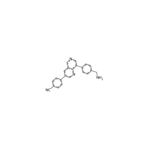 N#Cc1ccc(-c2cnc3c(-c4ccc(CN)cc4)cncc3c2)cc1